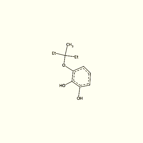 CCC(C)(CC)Oc1cccc(O)c1O